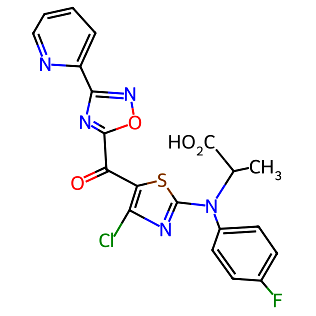 CC(C(=O)O)N(c1ccc(F)cc1)c1nc(Cl)c(C(=O)c2nc(-c3ccccn3)no2)s1